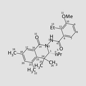 CCC[C@H]1N(NC(=O)c2cccc(OC)c2CC)C(=O)c2cc(C)cc(C)c2C1(C)C